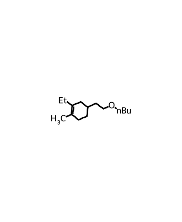 CCCCOCCC1CCC(C)=C(CC)C1